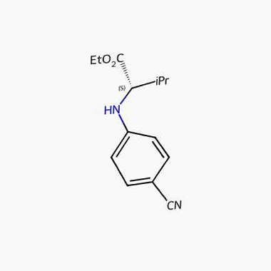 CCOC(=O)[C@@H](Nc1ccc(C#N)cc1)C(C)C